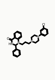 O=C1NC(c2ccccc2)N(CCCN2CCN(c3cccc(Cl)c3)CC2)c2ccccc21